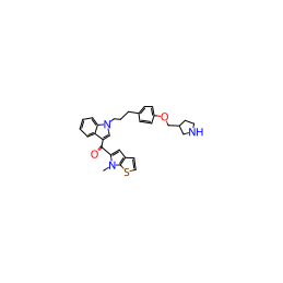 Cn1c(C(=O)c2cn(CCCc3ccc(OCC4CCNC4)cc3)c3ccccc23)cc2ccsc21